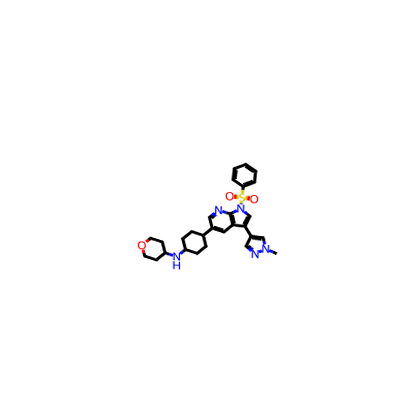 Cn1cc(-c2cn(S(=O)(=O)c3ccccc3)c3ncc(C4CCC(NC5CCOCC5)CC4)cc23)cn1